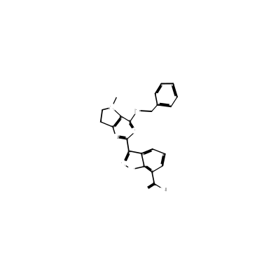 CN1CCc2nc(-c3noc4c(C(N)=O)cccc34)nc(NCc3ccccc3)c21